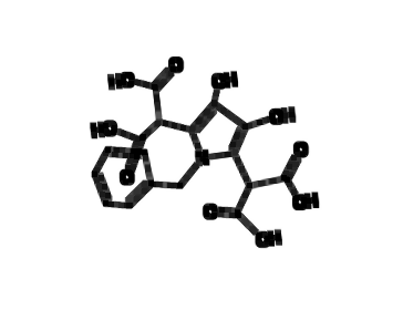 O=C(O)C(C(=O)O)c1c(O)c(O)c(C(C(=O)O)C(=O)O)n1Cc1ccccc1